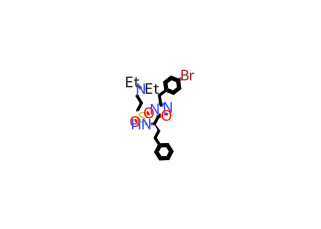 CCN(CC)CCCS(=O)(=O)N[C@H](CCc1ccccc1)c1nc(Cc2ccc(Br)cc2)no1